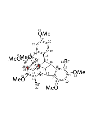 COc1ccc(C2C3c4c(OC)cc(OC)c(Br)c4C2[C@H](c2ccc(OC)cc2)c2c(OC)cc(OC)c(Br)c23)cc1